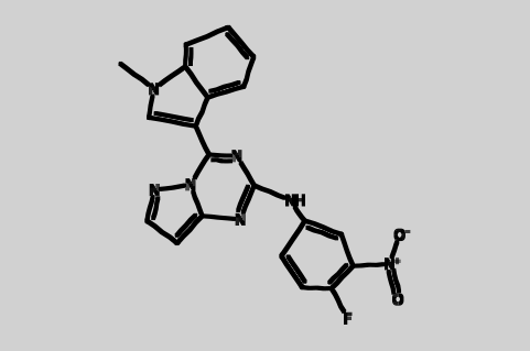 Cn1cc(-c2nc(Nc3ccc(F)c([N+](=O)[O-])c3)nc3ccnn23)c2ccccc21